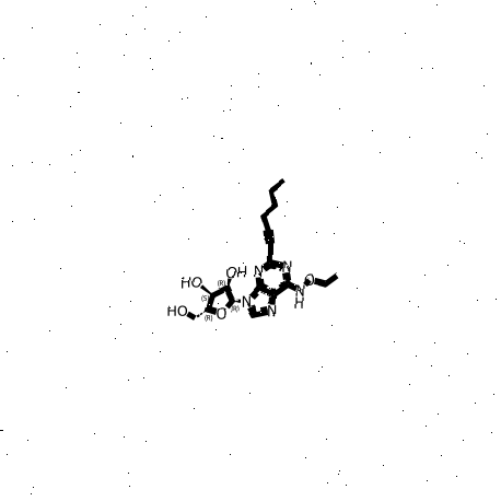 CCCCC#Cc1nc(NOCC)c2ncn([C@@H]3O[C@H](CO)[C@@H](O)[C@H]3O)c2n1